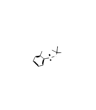 O=S(=O)([N]C(F)(F)F)c1ccccc1Cl